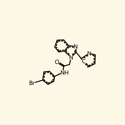 O=C(Cn1c(-c2ccccn2)nc2ccccc21)Nc1ccc(Br)cc1